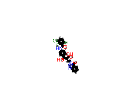 O=C(Nc1ccc(C(O)[C@H](CCn2nnc3ccccc3c2=O)C(=O)O)cc1)c1c(F)ccc(Cl)c1F